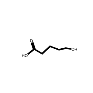 O=C(O)CC[CH]CO